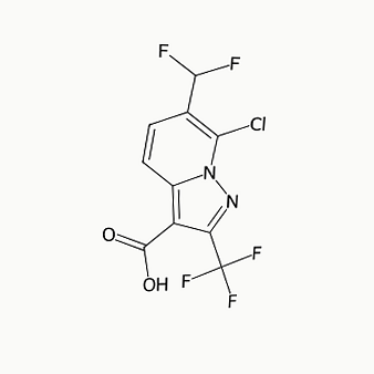 O=C(O)c1c(C(F)(F)F)nn2c(Cl)c(C(F)F)ccc12